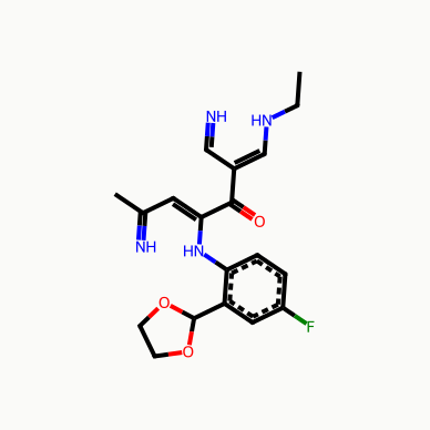 CCN/C=C(\C=N)C(=O)/C(=C/C(C)=N)Nc1ccc(F)cc1C1OCCO1